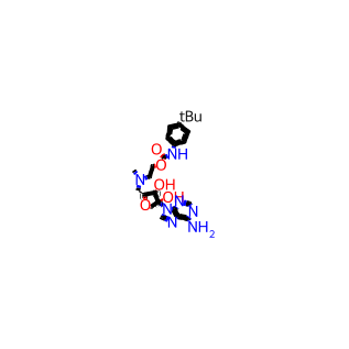 CN(CCOC(=O)Nc1ccc(C(C)(C)C)cc1)C[C@H]1OC[C@@](O)(n2cnc3c(N)ncnc32)[C@@H]1O